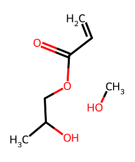 C=CC(=O)OCC(C)O.CO